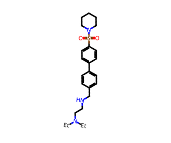 CCN(CC)CCNCc1ccc(-c2ccc(S(=O)(=O)N3CCCCC3)cc2)cc1